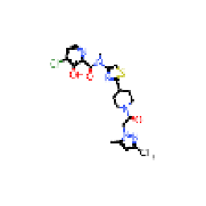 Cc1cc(C(F)(F)F)nn1CC(=O)N1CCC(c2nc(N(C)C(=O)c3nccc(Cl)c3O)cs2)CC1